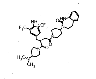 CN(C)C1CCN(C(=O)[C@H](CC(=O)N2CCC(N3CCc4ccccc4NC3=O)CC2)Cc2cc(C(F)(F)F)c(N)c(C(F)(F)F)c2)CC1